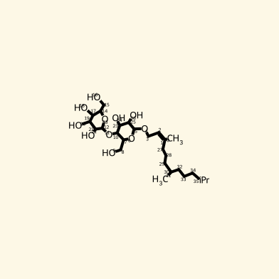 CC(=CCOC1OC(CO)C(OC2OC(CO)C(O)C(O)C2O)C(O)C1O)CCCC(C)CCCC(C)C